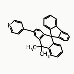 CC1(C)c2ccccc2C2(c3ccccc3-c3ccccc32)c2ccc(-c3ccncc3)cc21